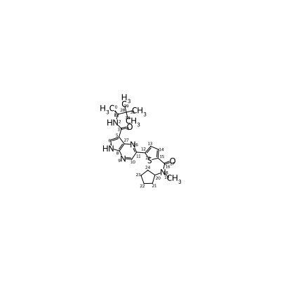 C[C@H](NC(=O)c1c[nH]c2ncc(-c3ccc(C(=O)N(C)C4CCCC4)s3)nc12)C(C)(C)C